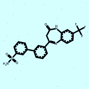 NS(=O)(=O)c1cccc(-c2cccc(C3=Nc4ccc(C(F)(F)F)cc4NC(=O)C3)c2)c1